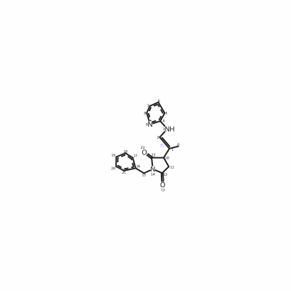 C/C(=C\Nc1ccccn1)C1CC(=O)N(Cc2ccccc2)C1=O